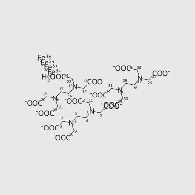 O.O=C([O-])CN(CCN(CC(=O)[O-])CC(=O)[O-])CC(=O)[O-].O=C([O-])CN(CCN(CC(=O)[O-])CC(=O)[O-])CC(=O)[O-].O=C([O-])CN(CCN(CC(=O)[O-])CC(=O)[O-])CC(=O)[O-].[Fe+3].[Fe+3].[Fe+3].[Fe+3]